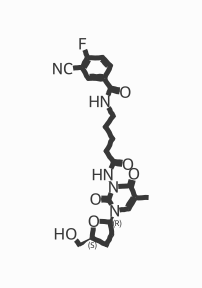 Cc1cn([C@H]2CC[C@@H](CO)O2)c(=O)n(NC(=O)CCCCNC(=O)c2ccc(F)c(C#N)c2)c1=O